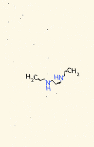 C=CCN/C=C\CNCC=C